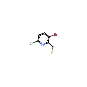 FCc1nc(Cl)ccc1Br